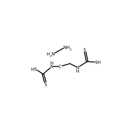 NN.S=C(S)NCCNC(=S)S